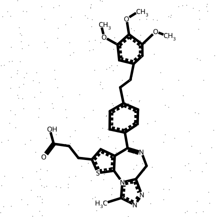 COc1cc(CCc2ccc(C3=NCc4nnc(C)n4-c4sc(CCC(=O)O)cc43)cc2)cc(OC)c1OC